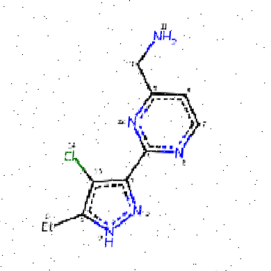 CCc1[nH]nc(-c2nccc(CN)n2)c1Cl